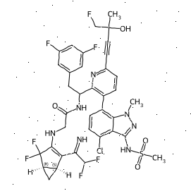 Cn1nc(NS(C)(=O)=O)c2c(Cl)ccc(-c3ccc(C#CC(C)(O)CF)nc3C(Cc3cc(F)cc(F)c3)NC(=O)CNC3=C(C(=N)C(F)F)[C@H]4C[C@H]4C3(F)F)c21